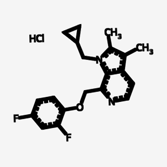 Cc1c(C)n(CC2CC2)c2c(COc3ccc(F)cc3F)nccc12.Cl